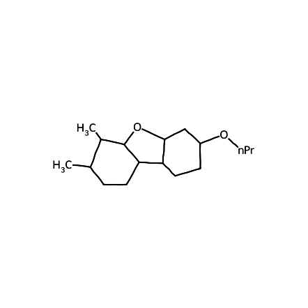 CCCOC1CCC2C(C1)OC1C(C)C(C)CCC21